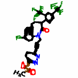 CS(=O)(=O)c1ccc(C#CCN2C(=O)C(c3ccc(C(F)(F)F)cc3C(F)(F)F)CCc3cc(F)ccc32)nn1